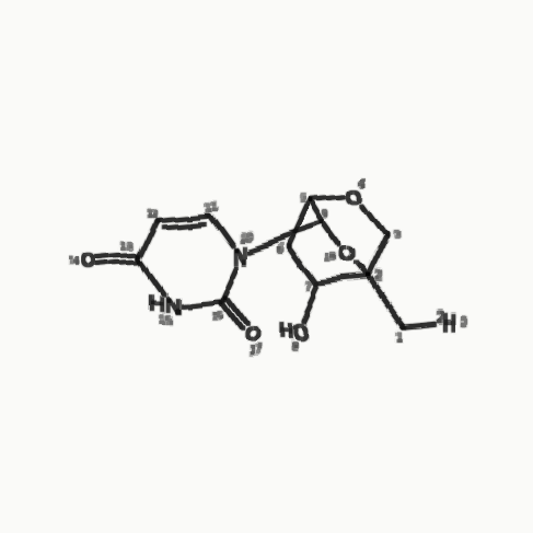 [2H]CC12COC(CC1O)C(n1ccc(=O)[nH]c1=O)O2